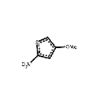 COc1csc([N+](=O)[O-])c1